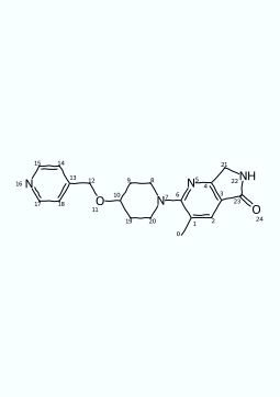 Cc1cc2c(nc1N1CCC(OCc3ccncc3)CC1)CNC2=O